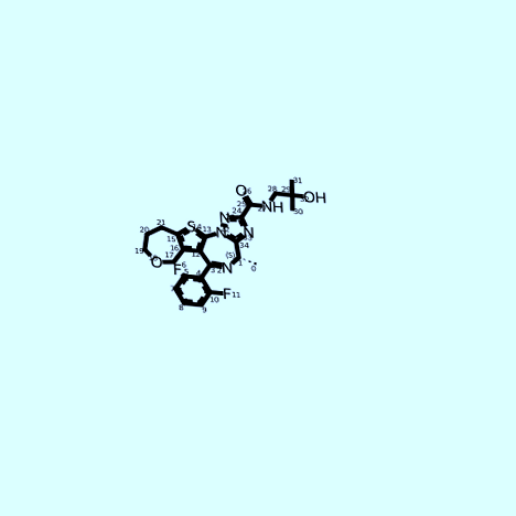 C[C@@H]1N=C(c2c(F)cccc2F)c2c(sc3c2COCCC3)-n2nc(C(=O)NCC(C)(C)O)nc21